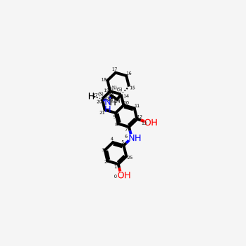 Oc1cccc(Nc2cc3c(cc2O)[C@]24CCCC[C@@H]2[C@H](C3)NCC4)c1